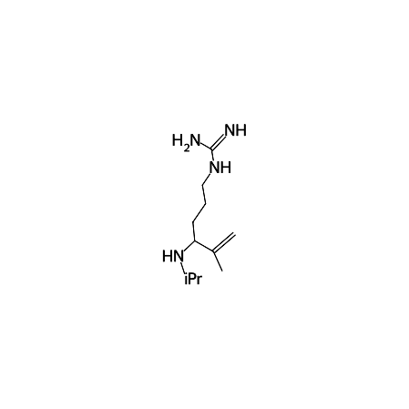 C=C(C)C(CCCNC(=N)N)NC(C)C